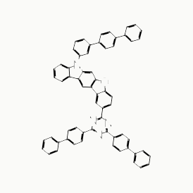 c1ccc(-c2ccc(-c3cccc(-n4c5ccccc5c5cc6c(cc54)oc4ccc(-c5nc(-c7ccc(-c8ccccc8)cc7)nc(-c7ccc(-c8ccccc8)cc7)n5)cc46)c3)cc2)cc1